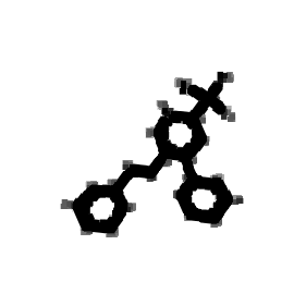 FC(F)(F)c1cc(-c2ccccc2)c(C=Cc2ccccc2)cn1